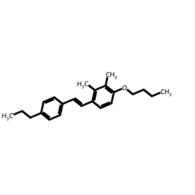 CCCCOc1ccc(C=Cc2ccc(CCC)cc2)c(C)c1C